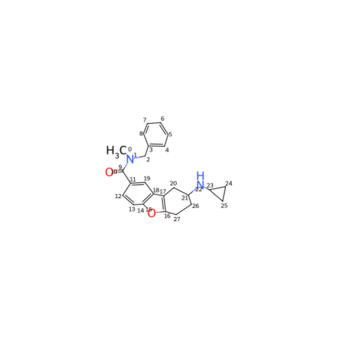 CN(Cc1ccccc1)C(=O)c1ccc2oc3c(c2c1)CC(NC1CC1)CC3